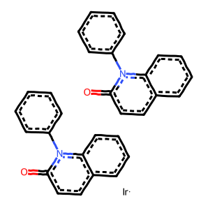 O=c1ccc2ccccc2n1-c1ccccc1.O=c1ccc2ccccc2n1-c1ccccc1.[Ir]